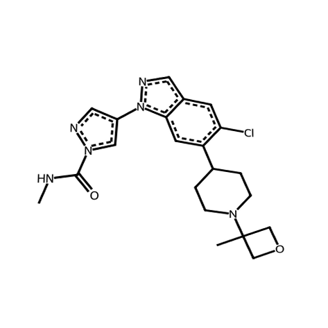 CNC(=O)n1cc(-n2ncc3cc(Cl)c(C4CCN(C5(C)COC5)CC4)cc32)cn1